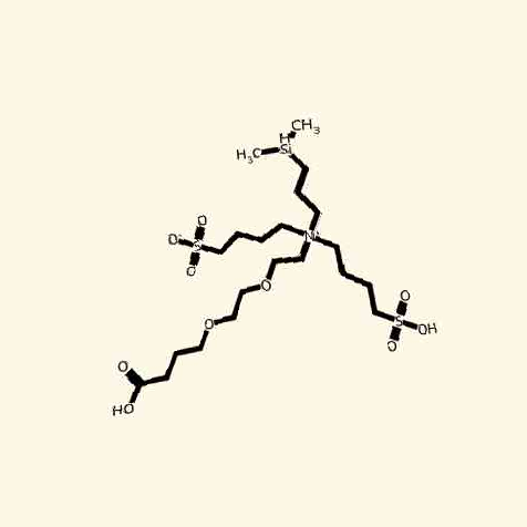 C[SiH](C)CCC[N+](CCCCS(=O)(=O)[O-])(CCCCS(=O)(=O)O)CCOCCOCCCC(=O)O